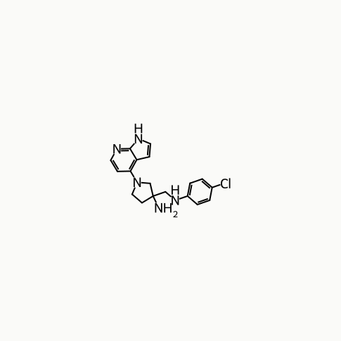 NC1(CNc2ccc(Cl)cc2)CCN(c2ccnc3[nH]ccc23)C1